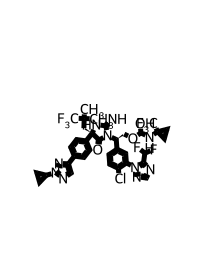 CC(C)(C[C@]1(c2ccc(-c3cnn(C4CC4)n3)cc2)NC(=N)N([C@H](COC(O)NC2(C(F)(F)F)CC2)c2ccc(Cl)c(-n3ncnc3C(F)F)c2)C1=O)C(F)(F)F